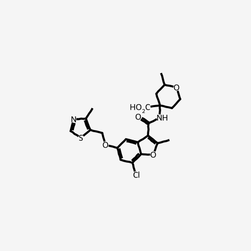 Cc1ncsc1COc1cc(Cl)c2oc(C)c(C(=O)NC3(C(=O)O)CCOC(C)C3)c2c1